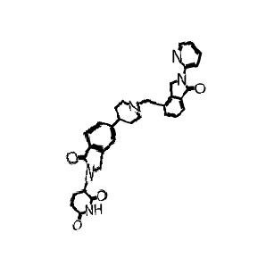 O=C1CCC(N2Cc3cc(C4CCN(Cc5cccc6c5CN(c5ccccn5)C6=O)CC4)ccc3C2=O)C(=O)N1